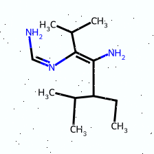 CCC(/C(N)=C(\N=C/N)C(C)C)C(C)C